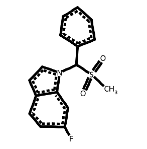 CS(=O)(=O)C(c1ccccc1)n1ccc2ccc(F)cc21